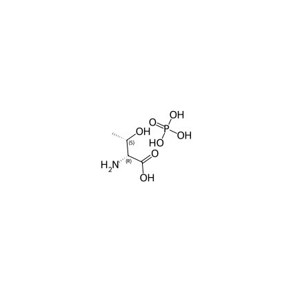 C[C@H](O)[C@@H](N)C(=O)O.O=P(O)(O)O